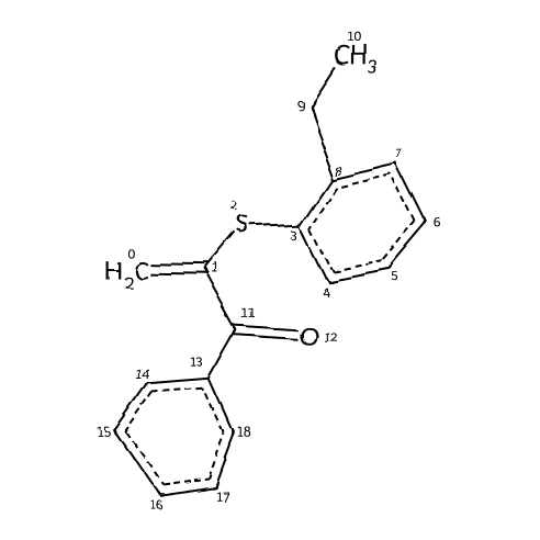 C=C(Sc1ccccc1CC)C(=O)c1ccccc1